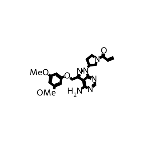 C=CC(=O)N1CCC(n2nc(COc3cc(OC)cc(OC)c3)c3c(N)ncnc32)C1